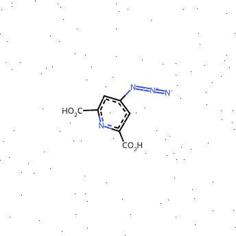 [N-]=[N+]=Nc1cc(C(=O)O)nc(C(=O)O)c1